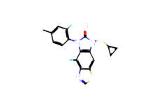 Cc1ccc(-n2c(=O)n(SC3CC3)c3cc4scnc4c(F)c32)c(F)c1